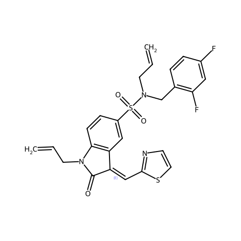 C=CCN1C(=O)/C(=C/c2nccs2)c2cc(S(=O)(=O)N(CC=C)Cc3ccc(F)cc3F)ccc21